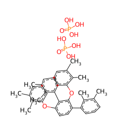 Cc1cccc(Oc2ccc(-c3cccc(C)c3C)c(Oc3cccc(C)c3C)c2-c2cccc(C)c2C)c1C.O=P(O)(O)O.O=P(O)(O)O